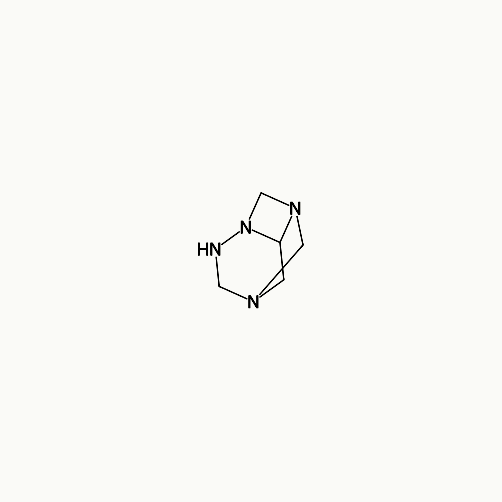 C1NN2CN3CN1CC32